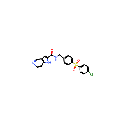 O=C(NCc1ccc(S(=O)(=O)c2ccc(Cl)cc2)cc1)c1cc2cnccc2[nH]1